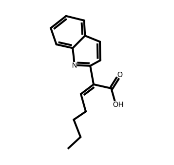 CCCCC=C(C(=O)O)c1ccc2ccccc2n1